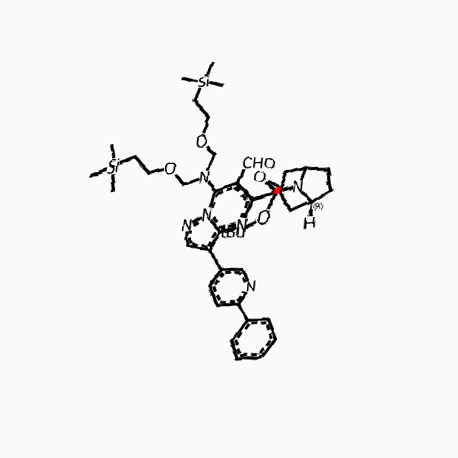 CC(C)(C)OC(=O)N1C2CC[C@@H]1CC(c1nc3c(-c4ccc(-c5ccccc5)nc4)cnn3c(N(COCC[Si](C)(C)C)COCC[Si](C)(C)C)c1C=O)C2